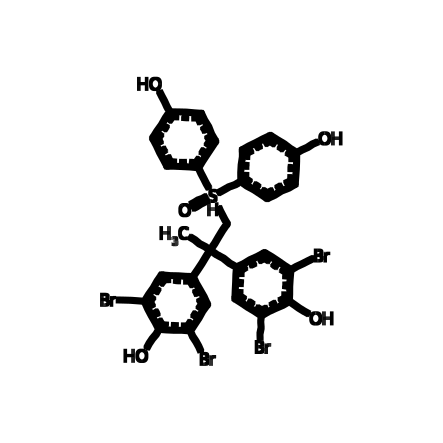 CC(C[SH](=O)(c1ccc(O)cc1)c1ccc(O)cc1)(c1cc(Br)c(O)c(Br)c1)c1cc(Br)c(O)c(Br)c1